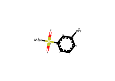 CCCc1cccc(S(=O)(=O)NC)c1